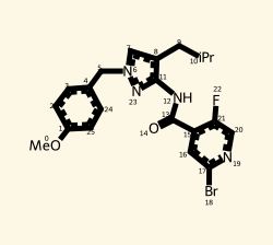 COc1ccc(Cn2cc(CC(C)C)c(NC(=O)c3cc(Br)ncc3F)n2)cc1